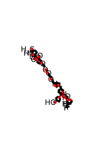 C=C1CCC(N2C(=O)c3ccc(OCCOCCOCCOCCN4CCN(Cc5ccc6c(c5)nc(NC(=O)c5cccc(C(F)(F)F)c5)n6[C@H]5CC[C@@H](CO)CC5)CC4)cc3C2=O)C(=O)N1